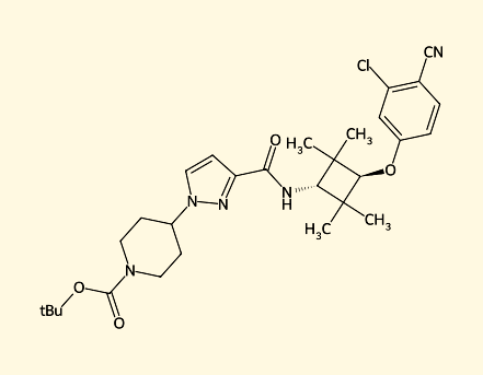 CC(C)(C)OC(=O)N1CCC(n2ccc(C(=O)N[C@H]3C(C)(C)[C@H](Oc4ccc(C#N)c(Cl)c4)C3(C)C)n2)CC1